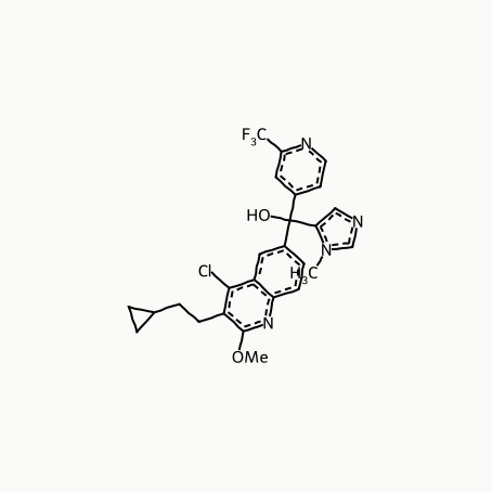 COc1nc2ccc(C(O)(c3ccnc(C(F)(F)F)c3)c3cncn3C)cc2c(Cl)c1CCC1CC1